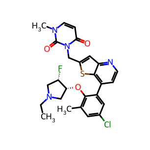 CCN1C[C@H](F)[C@H](Oc2c(C)cc(Cl)cc2-c2ccnc3cc(Cn4c(=O)ccn(C)c4=O)sc23)C1